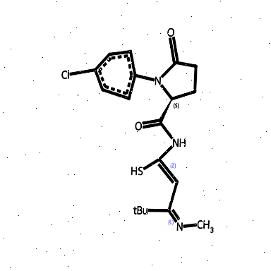 C/N=C(\C=C(/S)NC(=O)[C@@H]1CCC(=O)N1c1ccc(Cl)cc1)C(C)(C)C